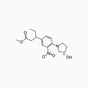 CCC(CC(=O)OC)c1ccc(N2CC[C@H](O)C2)c([N+](=O)[O-])c1